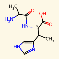 CC(N)C(=O)N[C@H](C(=O)O)C(C)c1c[nH]cn1